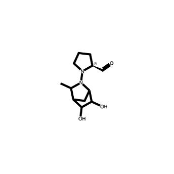 CC1C2CC(C(O)C2O)N1N1CCC[C@H]1C=O